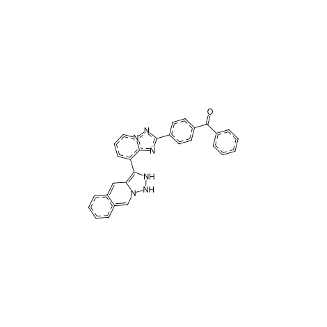 O=C(c1ccccc1)c1ccc(-c2nc3c(C4=C5C=c6ccccc6=CN5NN4)cccn3n2)cc1